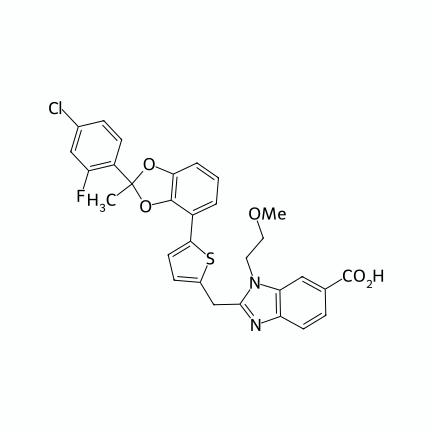 COCCn1c(Cc2ccc(-c3cccc4c3OC(C)(c3ccc(Cl)cc3F)O4)s2)nc2ccc(C(=O)O)cc21